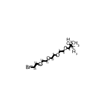 CC(C)(C)COCCOCCOCCOCCBr